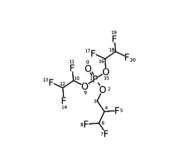 O=P(OCC(F)C(F)F)(OC(F)C(F)F)OC(F)C(F)F